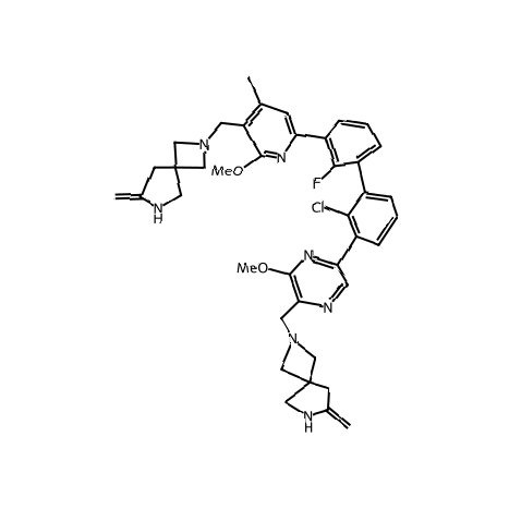 C=C1CC2(CN1)CN(Cc1ncc(-c3cccc(-c4cccc(-c5cc(C)c(CN6CC7(CNC(=C)C7)C6)c(OC)n5)c4F)c3Cl)nc1OC)C2